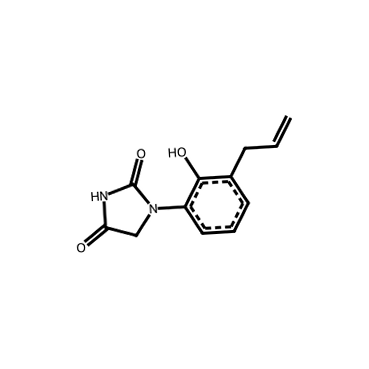 C=CCc1cccc(N2CC(=O)NC2=O)c1O